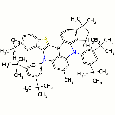 Cc1cc2c3c(c1)N(c1cc(C(C)(C)C)cc(C(C)(C)C)c1)c1c(sc4ccc(C(C)(C)C)cc14)B3c1ccc3c(c1N2c1cc(C(C)(C)C)cc(C(C)(C)C)c1)C(C)(C)CC3(C)C